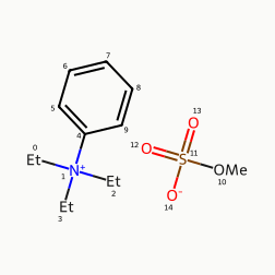 CC[N+](CC)(CC)c1ccccc1.COS(=O)(=O)[O-]